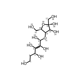 OCC[C@H](O)/C(O)=C(\O)[C@@H](O)OC1C(O)[C@@](O)(CO)O[C@@H]1CO